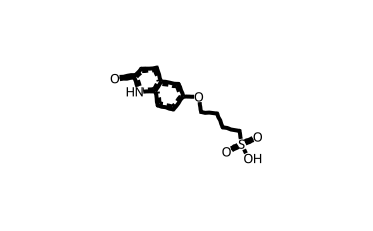 O=c1ccc2cc(OCCCCS(=O)(=O)O)ccc2[nH]1